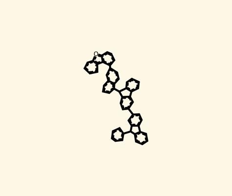 c1ccc(C2c3ccccc3-c3ccc(-c4ccc5c(c4)-c4ccccc4C5c4cccc5cc(-c6cccc7oc8ccccc8c67)ccc45)cc32)cc1